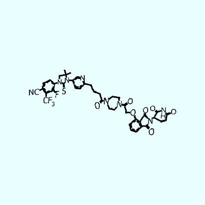 CC1(C)CN(c2ccc(C#N)c(C(F)(F)F)c2F)C(=S)N1c1ccc(CCCC(=O)N2CCN(C(=O)COc3cccc4c3C(=O)N(C3CCC(=O)NC3=O)C4=O)CC2)nc1